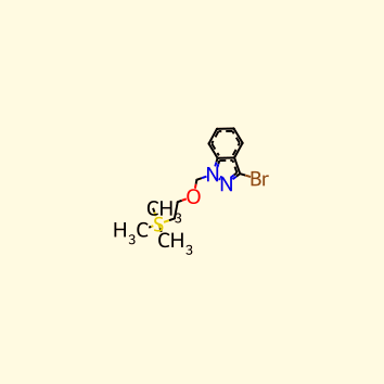 CS(C)(C)CCOCn1nc(Br)c2ccccc21